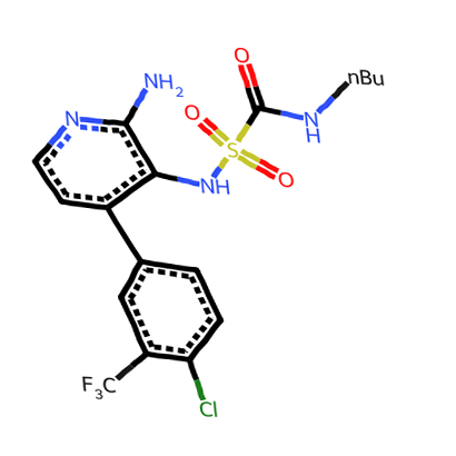 CCCCNC(=O)S(=O)(=O)Nc1c(-c2ccc(Cl)c(C(F)(F)F)c2)ccnc1N